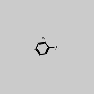 Cc1ccccc1.[Os]